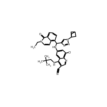 CCn1ccc2c(C(Nc3cc(Cl)c4ncc(C#N)c(NCC(C)(C)C)c4c3)c3cn(C45CC(C4)C5)nn3)cccc2c1=O